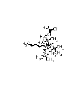 C=CCCC[Si](O[Si](C)(C)C)(O[Si](C)(C)C)O[Si](C)(C)C.O=C(O)O